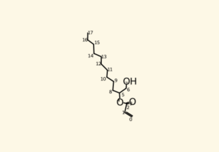 C=CC(=O)OC(CO)CCCCCCCCCC